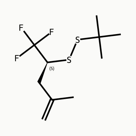 C=C(C)C[C@H](SSC(C)(C)C)C(F)(F)F